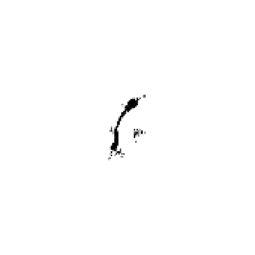 C=CC#N.[Mn]